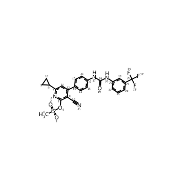 CS(=O)(=O)Oc1nc(C2CC2)cc(-c2ccc(NC(=O)Nc3cccc(C(F)(F)F)c3)cc2)c1C#N